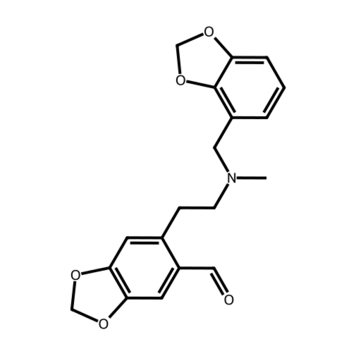 CN(CCc1cc2c(cc1C=O)OCO2)Cc1cccc2c1OCO2